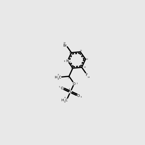 CC(OS(C)(=O)=O)c1nc(Br)ccc1F